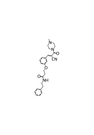 CN1CCN(C(=O)C(C#N)=Cc2cccc(OCCC(=O)N[CH]Cc3ccccc3)c2)CC1